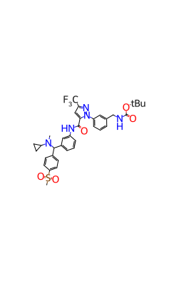 CN(C1CC1)C(c1ccc(S(C)(=O)=O)cc1)c1cccc(NC(=O)c2cc(C(F)(F)F)nn2-c2cccc(CNC(=O)OC(C)(C)C)c2)c1